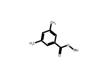 Cc1cc(C)cc(C(=O)OC(C)(C)C)c1